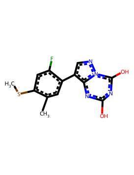 CSc1cc(F)c(-c2cnn3c(O)nc(O)nc23)cc1C